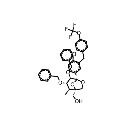 C[C@H]1[C@H](OCc2ccccc2)[C@@H](OCc2ccccc2)[C@@]2(c3ccc(Cl)c(Cc4ccc(OC(F)(F)F)cc4)c3)OC[C@]1(CO)O2